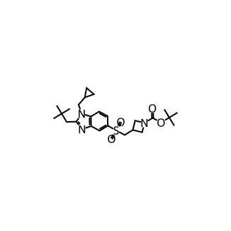 CC(C)(C)Cc1nc2cc(S(=O)(=O)CC3CN(C(=O)OC(C)(C)C)C3)ccc2n1CC1CC1